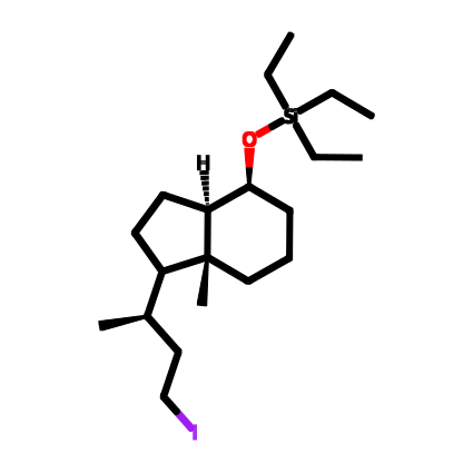 CC[Si](CC)(CC)O[C@H]1CCC[C@]2(C)C([C@H](C)CCI)CC[C@@H]12